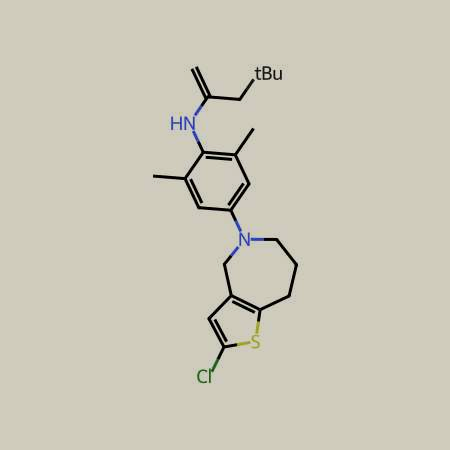 C=C(CC(C)(C)C)Nc1c(C)cc(N2CCCc3sc(Cl)cc3C2)cc1C